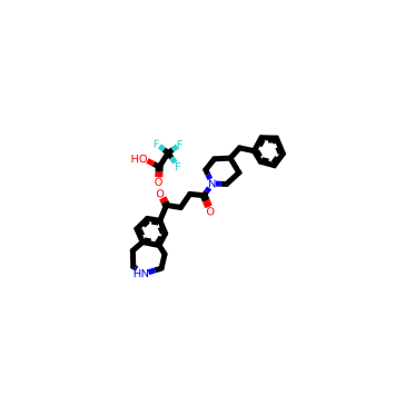 O=C(CCC(=O)N1CCC(Cc2ccccc2)CC1)c1ccc2c(c1)CCNCC2.O=C(O)C(F)(F)F